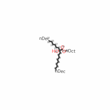 CCCCCCCCCCCCCCCCCCC(O)(CCCCCCCCCCCCCCCC)C(=O)OCCCCCCCC